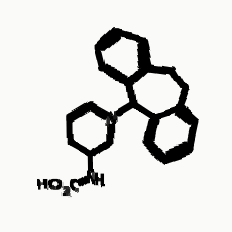 O=C(O)NC1CCCN(C2c3ccccc3CCc3ccccc32)C1